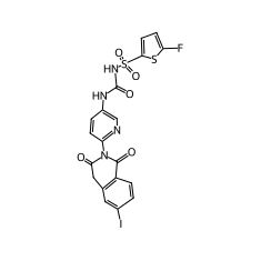 O=C(Nc1ccc(N2C(=O)Cc3cc(I)ccc3C2=O)nc1)NS(=O)(=O)c1ccc(F)s1